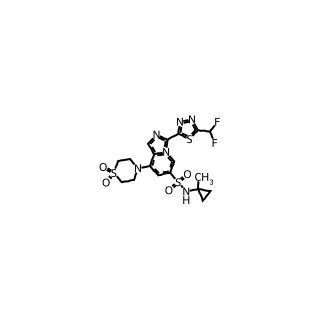 CC1(NS(=O)(=O)c2cc(N3CCS(=O)(=O)CC3)c3cnc(-c4nnc(C(F)F)s4)n3c2)CC1